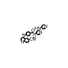 CN(c1ccc(C(=O)Nc2ccnc(Nc3ccncc3)c2)cc1)c1ccnc2ccc(C#N)cc12